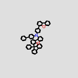 c1ccc(-c2ccc(N(c3ccc(-c4cccc5c4oc4ccccc45)cc3)c3cccc4oc5c(C6(c7ccccc7)c7ccccc7-c7ccccc76)cccc5c34)cc2)cc1